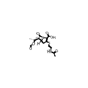 CC(=O)NC=CSC1=C(C(=O)O)N2C(=O)[C@H]([C@@H](C)OC=O)[C@H]2C1